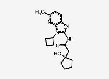 Cc1ccc2nc(NC(=O)CC3(O)CCCC3)n(C3CCC3)c2n1